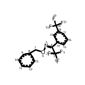 FC(F)(F)C(=NOCc1ccccc1)c1cccc(C(F)(F)F)c1